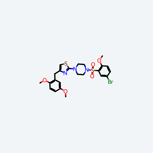 COc1ccc(OC)c(Cc2csc(N3CCN(S(=O)(=O)c4cc(Br)ccc4OC)CC3)n2)c1